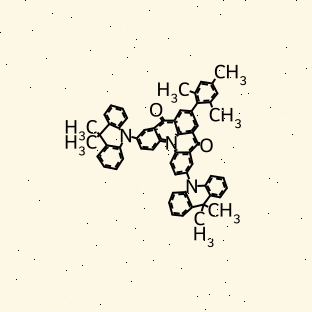 Cc1cc(C)c(-c2cc3c(=O)c4cc(N5c6ccccc6C(C)(C)c6ccccc65)ccc4n4c5ccc(N6c7ccccc7C(C)(C)c7ccccc76)cc5c(=O)c(c2)c34)c(C)c1